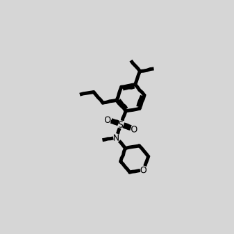 CCCc1cc(C(C)C)ccc1S(=O)(=O)N(C)C1CCOCC1